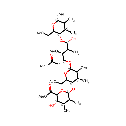 COC(=O)C[C@@H](O[C@@H]1OC(COC(C)=O)[C@@H](O[C@@H]2OC(C(=O)OC)[C@@H](O)[C@H](C)C2C)[C@H](C)C1OC(C)=O)[C@@H](OC)C(C)[C@@H](O)O[C@@H]1C(COC(C)=O)O[C@H](OC)C(C)[C@H]1C